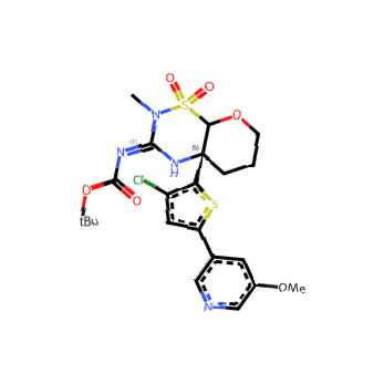 COc1cncc(-c2cc(Cl)c([C@]34CCCOC3S(=O)(=O)N(C)/C(=N/C(=O)OC(C)(C)C)N4)s2)c1